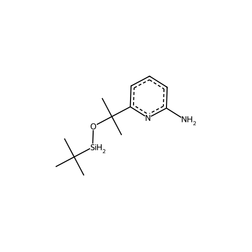 CC(C)(C)[SiH2]OC(C)(C)c1cccc(N)n1